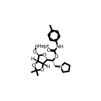 CCCCCCCO[C@H]1O[C@H]([C@@H](CN2CCCC2)OC(=O)Nc2ccc(C)cc2)[C@@H]2OC(C)(C)O[C@H]12